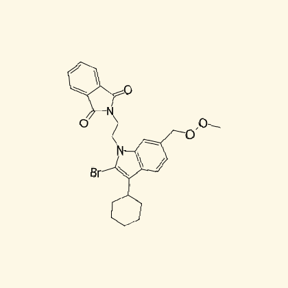 COOCc1ccc2c(C3CCCCC3)c(Br)n(CCN3C(=O)c4ccccc4C3=O)c2c1